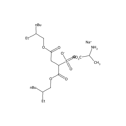 CC(N)C(=O)O.CCCCC(CC)COC(=O)CC(C(=O)OCC(CC)CCCC)S(=O)(=O)[O-].[Na+]